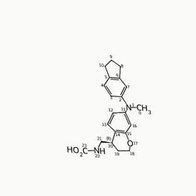 CN(c1ccc2c(c1)CCC2)c1ccc2c(c1)OCC[C@H]2CNC(=O)O